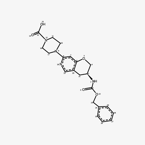 O=C(N[C@@H]1COc2cc(N3CCN(C(=O)O)CC3)ncc2C1)OCc1ccccc1